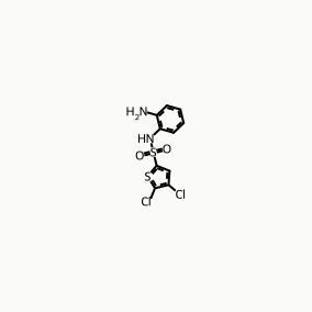 Nc1ccccc1NS(=O)(=O)c1cc(Cl)c(Cl)s1